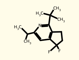 CC(C)c1cc2c(c(C(C)(C)C)n1)CCC2(F)F